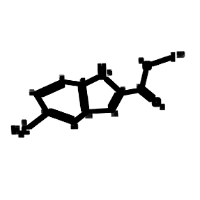 Cc1ccc2[nH]c(C(=O)OI)cc2c1